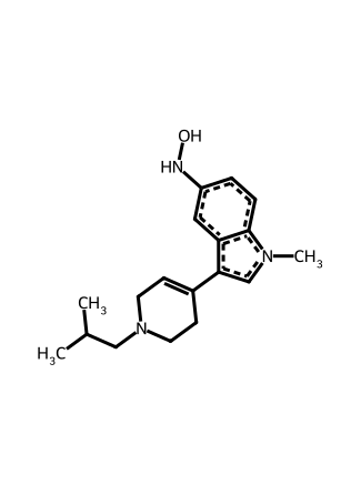 CC(C)CN1CC=C(c2cn(C)c3ccc(NO)cc23)CC1